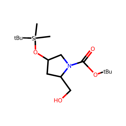 CC(C)(C)OC(=O)N1CC(O[Si](C)(C)C(C)(C)C)CC1CO